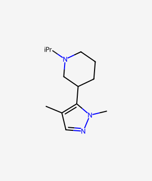 Cc1cnn(C)c1C1CCCN(C(C)C)C1